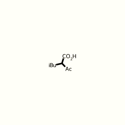 CCC(C)C(C(C)=O)C(=O)O